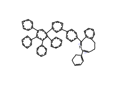 C1=CCCC(C2=C/CCc3ccccc3/C(c3ccc(-c4cccc(-c5cc(-c6ccccc6)c(-c6ccccc6)c(-c6ccccc6)c5-c5ccccc5)c4)cc3)=N\2)=C1